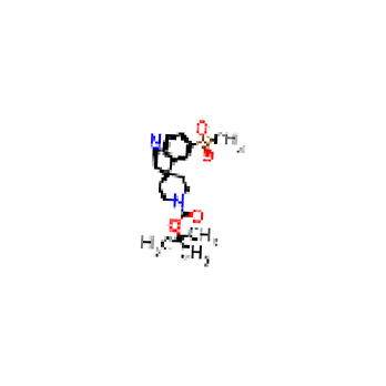 CC(C)(C)OC(=O)N1CCC(CC#N)(c2cccc(S(C)(=O)=O)c2)CC1